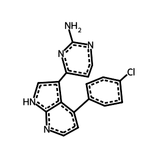 Nc1nccc(-c2c[nH]c3nccc(-c4ccc(Cl)cc4)c23)n1